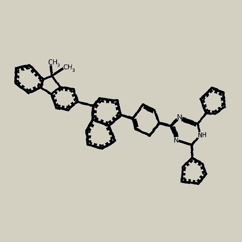 CC1(C)c2ccccc2-c2ccc(-c3ccc(C4=CCC(C5=NC(c6ccccc6)NC(c6ccccc6)=N5)C=C4)c4ccccc34)cc21